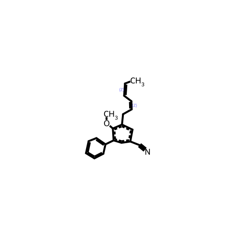 C/C=C\C=C/Cc1cc(C#N)cc(C2=CC=C=C=C2)c1OC